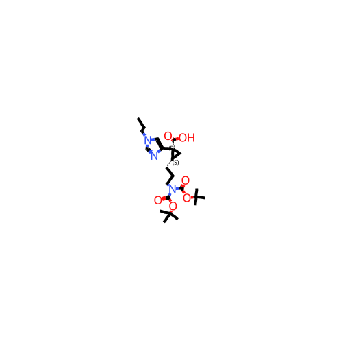 CCCn1cnc([C@@]2(C(=O)O)C[C@@H]2CCCN(C(=O)OC(C)(C)C)C(=O)OC(C)(C)C)c1